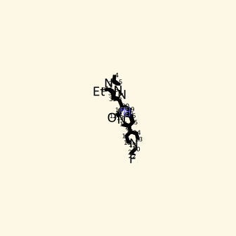 CCc1nc(C)cn2nc(C3=C\C(=O)N4C=C(C5CCN(CCF)CC5)C=C\C4=C/C=C/3)cc12